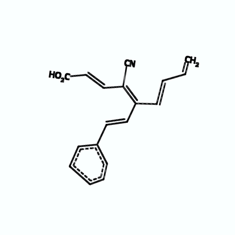 C=CC=CC(C=Cc1ccccc1)=C(C#N)C=CC(=O)O